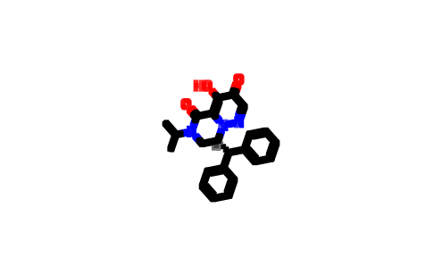 CC(C)N1C[C@@H](C(c2ccccc2)c2ccccc2)n2ncc(=O)c(O)c2C1=O